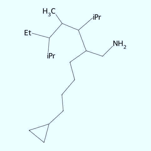 CCC(C(C)C)C(C)C(C(C)C)C(CN)CCCCC1CC1